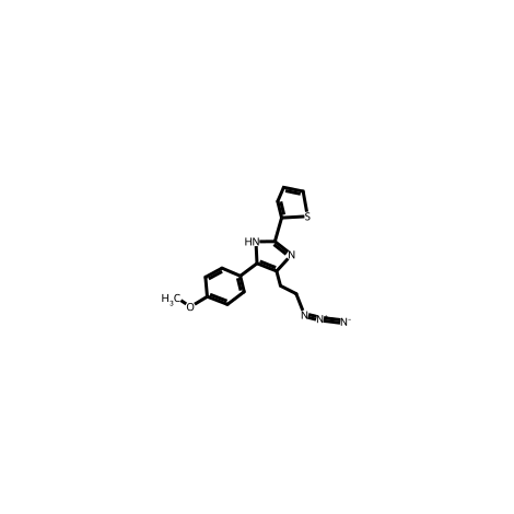 COc1ccc(-c2[nH]c(-c3cccs3)nc2CCN=[N+]=[N-])cc1